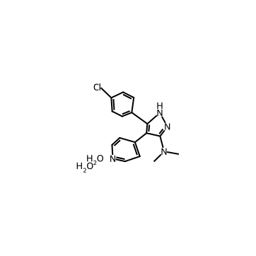 CN(C)c1n[nH]c(-c2ccc(Cl)cc2)c1-c1ccncc1.O.O